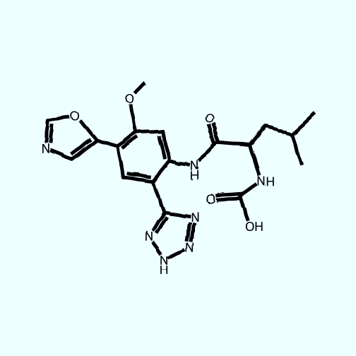 COc1cc(NC(=O)C(CC(C)C)NC(=O)O)c(-c2nn[nH]n2)cc1-c1cnco1